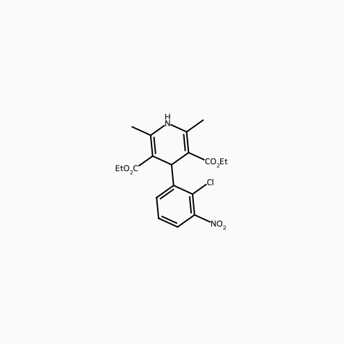 CCOC(=O)C1=C(C)NC(C)=C(C(=O)OCC)C1c1cccc([N+](=O)[O-])c1Cl